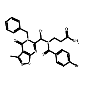 CCC(c1nc2onc(C)c2c(=O)n1Cc1ccccc1)N(CCC(N)=O)C(=O)c1ccc(Br)cc1